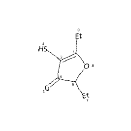 CCC1=C(S)C(=O)C(CC)O1